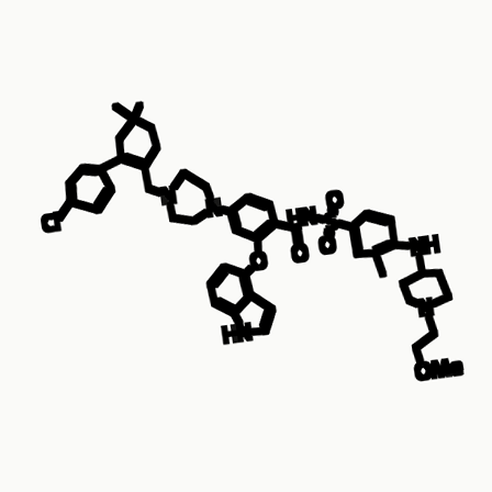 COCCN1CCC(Nc2ccc(S(=O)(=O)NC(=O)c3ccc(N4CCN(CC5=C(c6ccc(Cl)cc6)CC(C)(C)CC5)CC4)cc3Oc3cccc4[nH]ccc34)cc2C)CC1